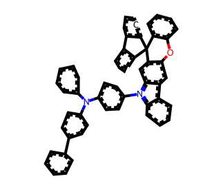 c1ccc(-c2ccc(N(c3ccccc3)c3ccc(-n4c5ccccc5c5cc6c(cc54)C4(c5ccccc5O6)c5ccccc5-c5ccccc54)cc3)cc2)cc1